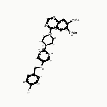 COc1cc2ncnc(N3CCN(c4ncc(OCc5ccc(F)cc5)cn4)CC3)c2cc1OC